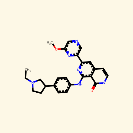 CCN1CCC(c2ccc(Nc3nc(-c4cncc(OC)n4)cc4c3C(=O)[N]C=C4)cc2)C1